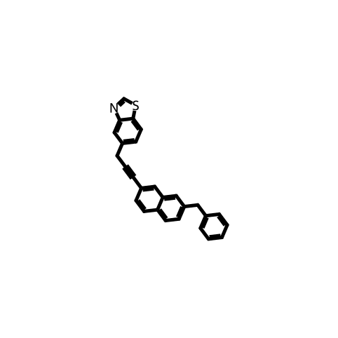 C(#Cc1ccc2ccc(Cc3ccccc3)cc2c1)Cc1ccc2scnc2c1